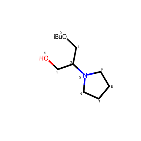 CC(C)COCC(CO)N1CCCC1